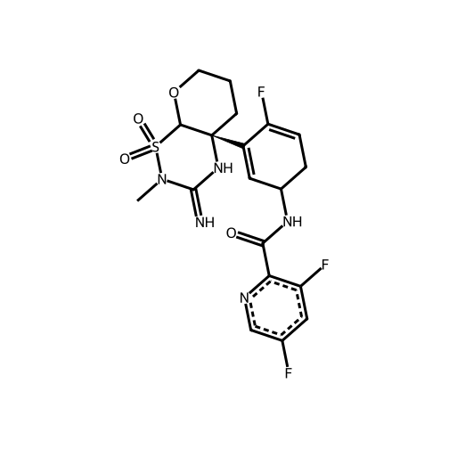 CN1C(=N)N[C@@]2(C3=CC(NC(=O)c4ncc(F)cc4F)CC=C3F)CCCOC2S1(=O)=O